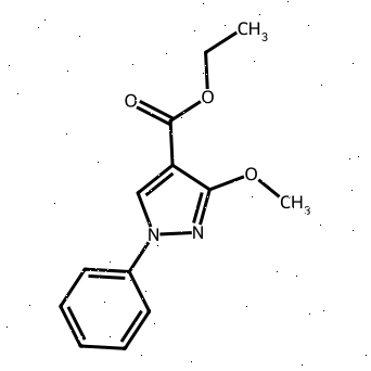 CCOC(=O)c1cn(-c2ccccc2)nc1OC